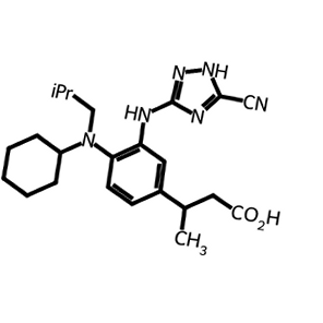 CC(C)CN(c1ccc(C(C)CC(=O)O)cc1Nc1n[nH]c(C#N)n1)C1CCCCC1